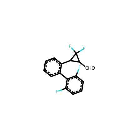 O=CC1C(c2ccccc2-c2c(F)cccc2F)C1(F)F